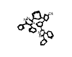 N#Cc1ccc(-c2cccc(-c3nnc(-c4ccccc4)c(-c4ccccc4)n3)c2)c(-c2cccc(-c3nnc(-c4ccccc4)c(-c4ccccc4)n3)c2)c1